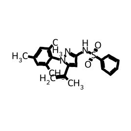 C=C(C)c1cc(NS(=O)(=O)c2ccccc2)nn1-c1c(C)cc(C)cc1C